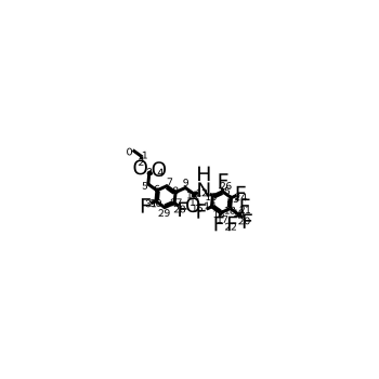 CCOC(=O)Cc1cc(CC(=O)Nc2c(F)c(F)c(C(F)(F)F)c(F)c2F)c(F)cc1F